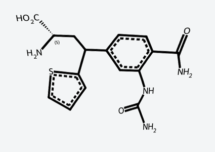 NC(=O)Nc1cc(C(C[C@H](N)C(=O)O)c2cccs2)ccc1C(N)=O